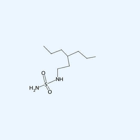 CCCC(CCC)CCNS(N)(=O)=O